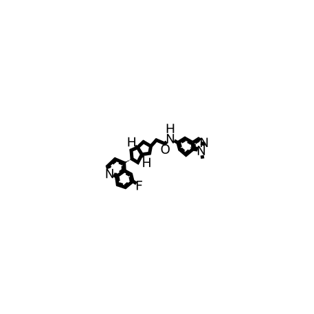 Cn1ncc2cc(NC(=O)CC3C[C@@H]4C[C@H](c5ccnc6ccc(F)cc56)C[C@@H]4C3)ccc21